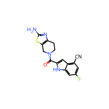 N#Cc1cc(F)cc2[nH]c(C(=O)N3CCc4nc(N)sc4C3)cc12